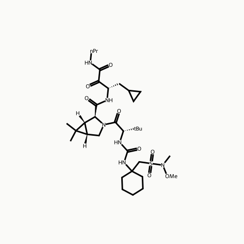 CCCNC(=O)C(=O)[C@H](CC1CC1)NC(=O)[C@@H]1[C@@H]2[C@H](CN1C(=O)[C@@H](NC(=O)NC1(CS(=O)(=O)N(C)OC)CCCCC1)C(C)(C)C)C2(C)C